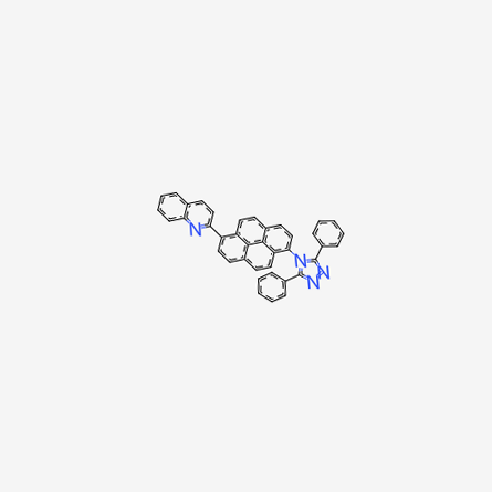 c1ccc(-c2nnc(-c3ccccc3)n2-c2ccc3ccc4c(-c5ccc6ccccc6n5)ccc5ccc2c3c54)cc1